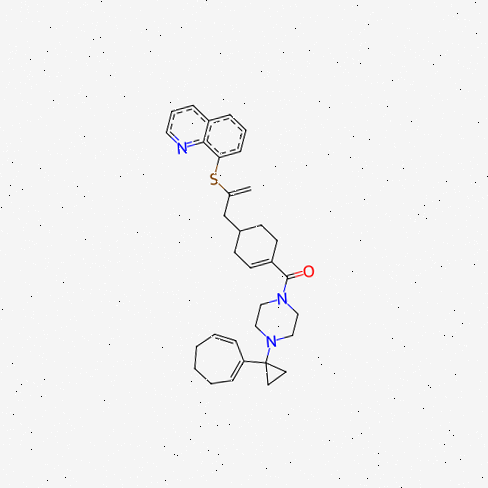 C=C(CC1CC=C(C(=O)N2CCN(C3(C4=CCCCC=C4)CC3)CC2)CC1)Sc1cccc2cccnc12